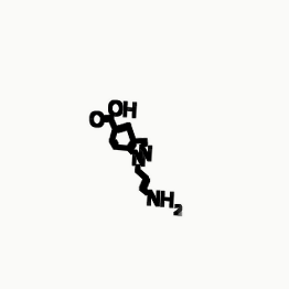 NC=CCn1ncc2cc(C(=O)O)ccc21